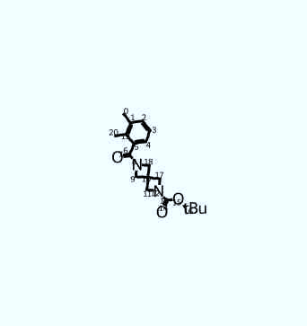 Cc1cccc(C(=O)N2CC3(CN(C(=O)OC(C)(C)C)C3)C2)c1C